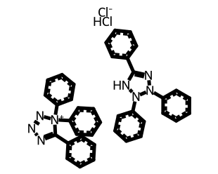 Cl.[Cl-].c1ccc(C2=NN(c3ccccc3)N(c3ccccc3)N2)cc1.c1ccc(C2=NN=N[N+]2(c2ccccc2)c2ccccc2)cc1